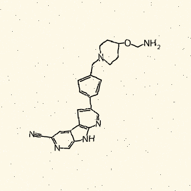 N#Cc1cc2c(cn1)[nH]c1ncc(-c3ccc(CN4CCC(OCN)CC4)cc3)cc12